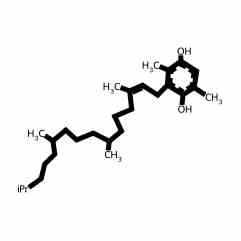 CC(=CCc1c(C)c(O)cc(C)c1O)CCCC(C)CCCC(C)CCCC(C)C